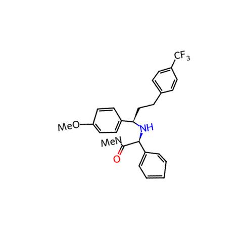 CNC(=O)[C@@H](N[C@H](CCc1ccc(C(F)(F)F)cc1)c1ccc(OC)cc1)c1ccccc1